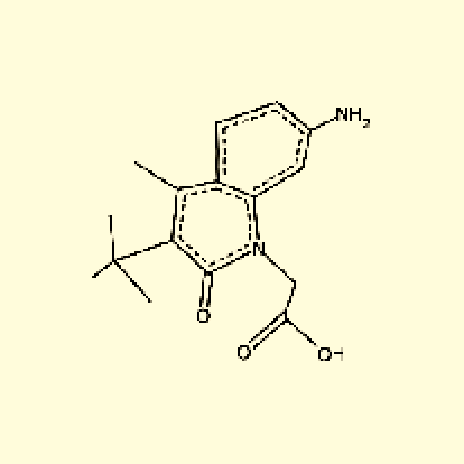 Cc1c(C(C)(C)C)c(=O)n(CC(=O)O)c2cc(N)ccc12